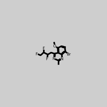 COc1ccc(Br)c2nc(C)nc(CC(F)C(F)CF)c12